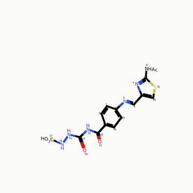 CC(=O)Nc1nc(/C=N/c2ccc(C(=O)NC(=O)NNC(=O)O)cc2)cs1